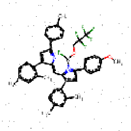 COc1ccc(-c2cc(-c3ccc(C)cc3C)c(/C=C3\N=C(c4ccc(C)cc4)C=C3c3ccc(C)cc3C)n2B(F)OCC(F)(F)C(F)(F)F)cc1